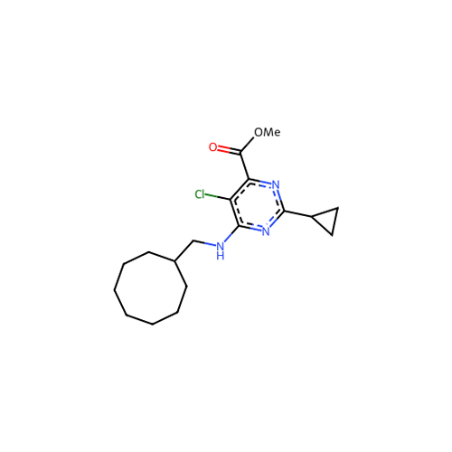 COC(=O)c1nc(C2CC2)nc(NCC2CCCCCCC2)c1Cl